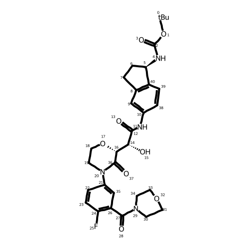 CC(C)(C)OC(=O)N[C@@H]1CCc2cc(NC(=O)[C@H](O)[C@H]3OCCN(c4ccc(F)c(C(=O)N5CCOCC5)c4)C3=O)ccc21